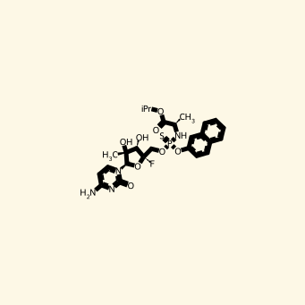 CC(C)OC(=O)[C@H](C)NP(=S)(OC[C@@]1(F)O[C@@H](n2ccc(N)nc2=O)[C@](C)(O)[C@@H]1O)Oc1ccc2ccccc2c1